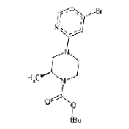 C[C@H]1CN(c2cc(Br)ccn2)CCN1C(=O)OC(C)(C)C